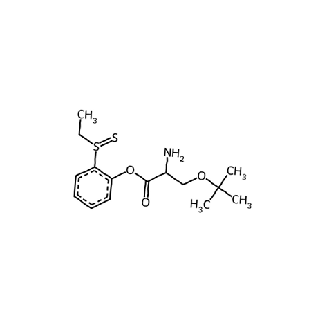 CCS(=S)c1ccccc1OC(=O)C(N)COC(C)(C)C